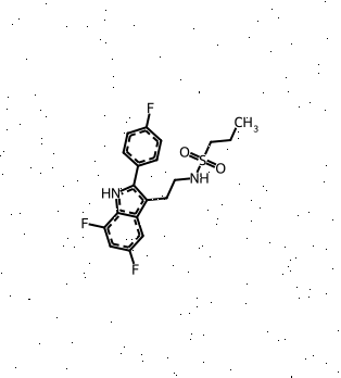 CCCS(=O)(=O)NCCc1c(-c2ccc(F)cc2)[nH]c2c(F)cc(F)cc12